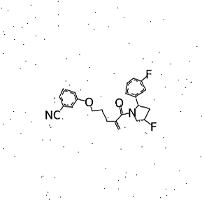 C=C(CCCOc1cccc(C#N)c1)C(=O)N1CC(F)CC1c1cccc(F)c1